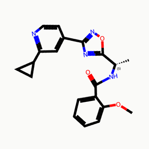 COc1ccccc1C(=O)N[C@@H](C)c1nc(-c2ccnc(C3CC3)c2)no1